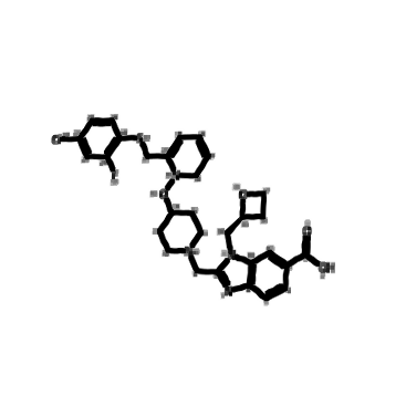 O=C(O)c1ccc2nc(CN3CCC(ON4CC=CC=C4CSc4ccc(Cl)cc4F)CC3)n(C[C@@H]3CCO3)c2c1